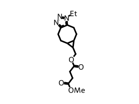 CCn1nnc2c1CCC1C(CC2)C1COC(=O)CCC(=O)OC